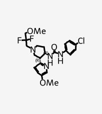 COCC(F)(F)CN1CC[C@@H](NC(=O)Nc2ccc(Cl)cc2)[C@H](c2ccc(OC)cn2)C1